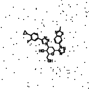 Cc1nc2ccc(-n3ncnc3C3CC(n4cc(-c5ccc(C6CC6)c(F)c5)nn4)C(O)C(CO)O3)cc2s1